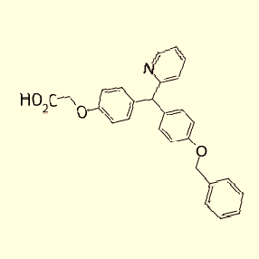 O=C(O)COc1ccc(C(c2ccc(OCc3ccccc3)cc2)c2ccccn2)cc1